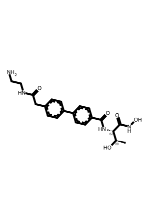 C[C@@H](O)[C@H](NC(=O)c1ccc(-c2ccc(CC(=O)NCCN)cc2)cc1)C(=O)NO